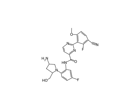 COc1ccc(C#N)c(F)c1-c1nccc(C(=O)Nc2cc(F)ccc2N2CC(N)CC2CO)n1